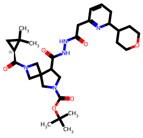 CC(C)(C)OC(=O)N1CC(C(=O)NNC(=O)CC2=NC(C3CCOCC3)CC=C2)C2(C1)CN(C(=O)[C@H]1CC1(C)C)C2